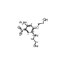 Nc1cc(OCCO)c(NCCO)cc1[N+](=O)[O-]